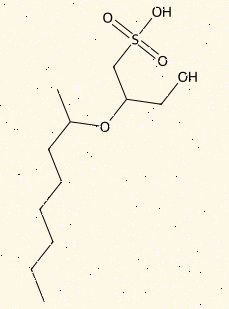 CCCCCCC(C)OC(CO)CS(=O)(=O)O